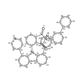 O=C1c2cccc(-n3c4c(-c5ccncc5)cccc4c4cccc(-c5ccncc5)c43)c2C(=O)N1c1cccc(-c2ccccc2)c1